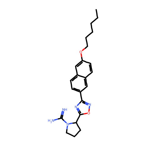 CCCCCCOc1ccc2cc(-c3noc(C4CCCN4C(=N)N)n3)ccc2c1